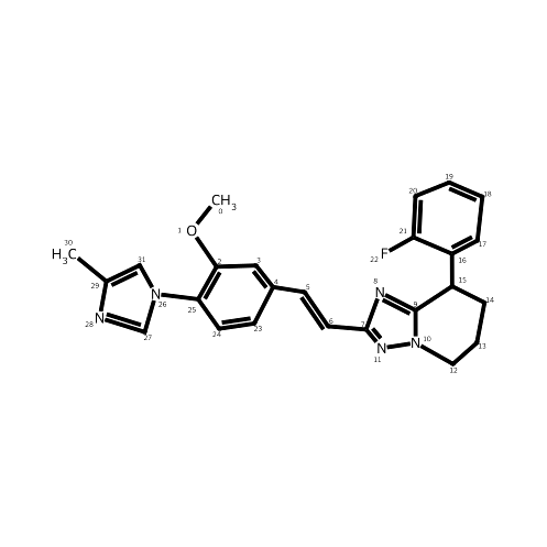 COc1cc(C=Cc2nc3n(n2)CCCC3c2ccccc2F)ccc1-n1cnc(C)c1